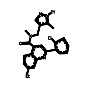 CCc1ccc2c(C(=O)N(C)Cc3cnn(CC)c3C)cc(-c3ccccc3Cl)nc2c1